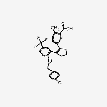 Cc1ccc(C2=C(c3cc(C(F)(F)F)ccc3OCc3ccc(Cl)cc3)CCC2)nc1C(=O)O